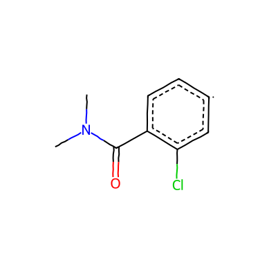 CN(C)C(=O)c1cc[c]cc1Cl